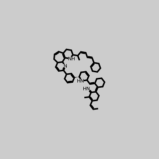 C/C=C\C1=C(C)C(=N)/C(=C2/CCCC/C2=C\C2C=CC[C@@H](C3=CC(C4=NC5C6=C(C=CCC5C=C4)CCC(C(C)/C=C\C=C\C4=CCCCC4)N6)CC=C3)N2)CC1